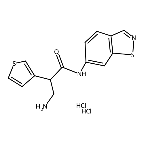 Cl.Cl.NCC(C(=O)Nc1ccc2cnsc2c1)c1ccsc1